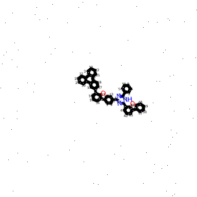 c1ccc(C2=NC(c3ccc4c(c3)oc3c(-c5ccc6c7ccccc7c7ccccc7c6c5)cccc34)=NC(c3cccc4c3oc3ccccc34)N2)cc1